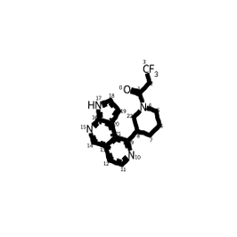 O=C(CC(F)(F)F)N1CCCC(c2nccc3cnc4[nH]ccc4c23)C1